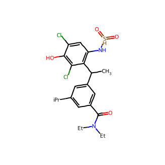 CCN(CC)C(=O)c1cc(C(C)C)cc(C(C)c2c(N[SH](=O)=O)cc(Cl)c(O)c2Cl)c1